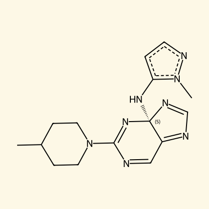 CC1CCN(C2=N[C@@]3(Nc4ccnn4C)N=CN=C3C=N2)CC1